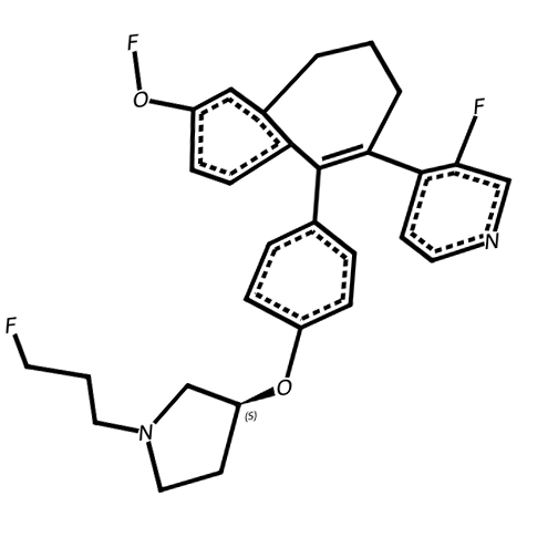 FCCCN1CC[C@H](Oc2ccc(C3=C(c4ccncc4F)CCCc4cc(OF)ccc43)cc2)C1